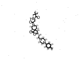 CC(C)(C)C(=O)NCC(=O)N1CCC2(CC1)C[C@H](CCN1CCN(c3ccc(F)cc3)CC1)OC2=O